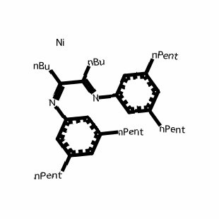 CCCCCc1cc(CCCCC)cc(N=C(CCCC)C(CCCC)=Nc2cc(CCCCC)cc(CCCCC)c2)c1.[Ni]